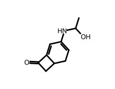 CC(O)NC1=CCC2CC(=O)C2=C1